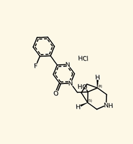 Cl.O=c1cc(-c2ccccc2F)ncn1CC1(O)[C@@H]2CC[C@H]1CNC2